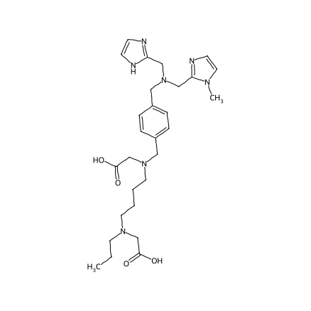 CCCN(CCCCN(CC(=O)O)Cc1ccc(CN(Cc2ncc[nH]2)Cc2nccn2C)cc1)CC(=O)O